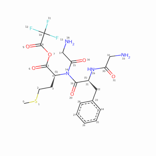 CSCC[C@@H](C(=O)OC(=O)C(F)(F)F)N(C(=O)CN)C(=O)[C@H](Cc1ccccc1)NC(=O)CN